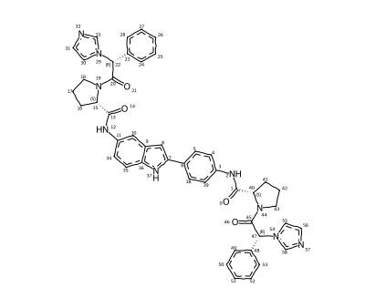 O=C(Nc1ccc(-c2cc3cc(NC(=O)[C@@H]4CCCN4C(=O)[C@@H](c4ccccc4)n4ccnc4)ccc3[nH]2)cc1)[C@@H]1CCCN1C(=O)[C@@H](c1ccccc1)n1ccnc1